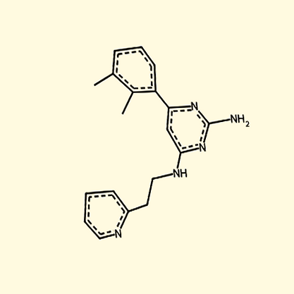 Cc1cccc(-c2cc(NCCc3ccccn3)nc(N)n2)c1C